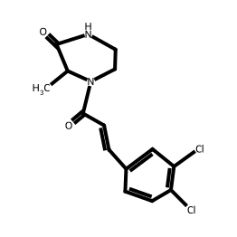 CC1C(=O)NCCN1C(=O)C=Cc1ccc(Cl)c(Cl)c1